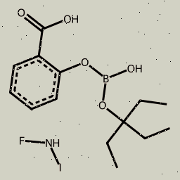 CCC(CC)(CC)OB(O)Oc1ccccc1C(=O)O.FNI